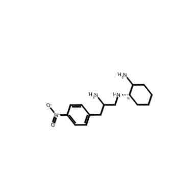 NC(CN[C@H]1CCCCC1N)Cc1ccc([N+](=O)[O-])cc1